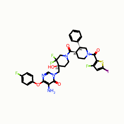 Nc1c(Oc2ccc(F)cc2)ncn(C[C@@]2(O)CCN(C(=O)[C@@H]3CCN(C(=O)c4sc(I)cc4F)C[C@H]3c3ccccc3)CC2(F)F)c1=O